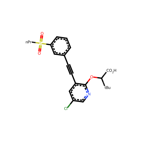 CCCS(=O)(=O)c1cccc(C#Cc2cc(Cl)cnc2OC(C(=O)O)C(C)(C)C)c1